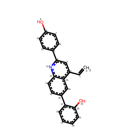 C=Cc1cc(-c2ccc(O)cc2)nc2ccc(-c3ccccc3O)cc12